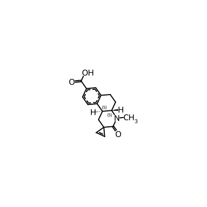 CN1C(=O)C2(C=C2)C[C@H]2c3ccc(C(=O)O)cc3CC[C@@H]21